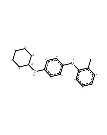 Cc1ccccc1Oc1ccc(OC2CCCCC2)cc1